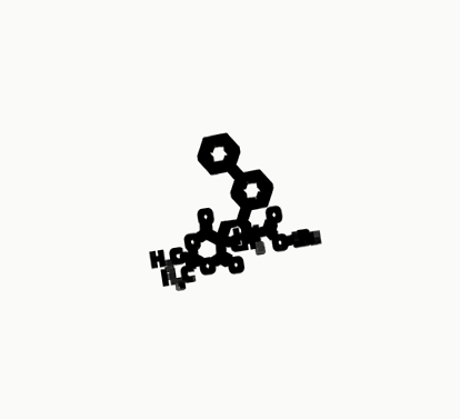 CC(C)(C)OC(=O)N[C@@H](CC1(C)C(=O)OC(C)(C)OC1=O)c1cccc(-c2ccccc2)c1